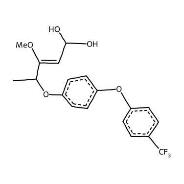 COC(=CC(O)O)C(C)Oc1ccc(Oc2ccc(C(F)(F)F)cc2)cc1